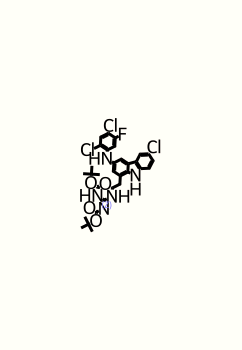 CC(C)(C)OC(=O)/N=C(/NCCc1cc(Nc2cc(F)c(Cl)cc2Cl)cc2c1[nH]c1ccc(Cl)cc12)NC(=O)OC(C)(C)C